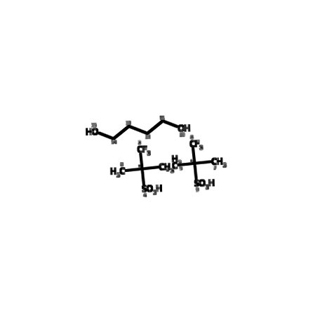 CC(C)(C(F)(F)F)S(=O)(=O)O.CC(C)(C(F)(F)F)S(=O)(=O)O.OCCCCO